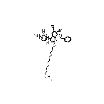 CCCCCCCCCCCCSc1nc(N2C[C@@H]3C[C@H]2CN3)c2cc(C3CC3)c(Br)c(OCc3ccccc3)c2n1